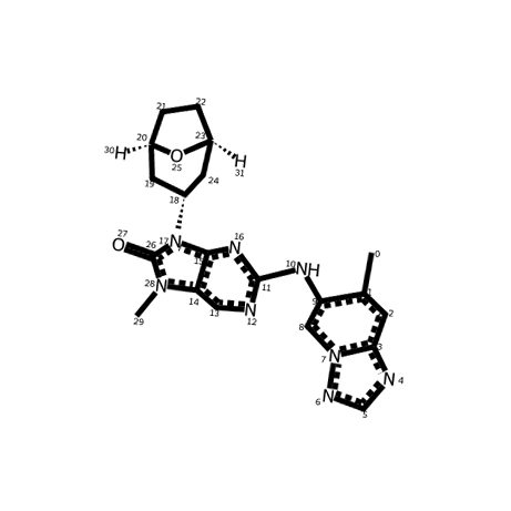 Cc1cc2ncnn2cc1Nc1ncc2c(n1)n([C@@H]1C[C@H]3CC[C@@H](C1)O3)c(=O)n2C